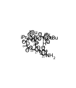 CC(OC(=O)C(NC(=O)OC(C)(C)C)C(C)C)C(=O)OCC1CC(n2ccc(N)nc2=O)OC1COC(=O)C(C)OC(=O)C(NC(=O)OC(C)(C)C)C(C)C